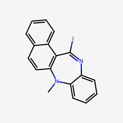 CN1c2ccccc2N=C(I)c2c1ccc1ccccc21